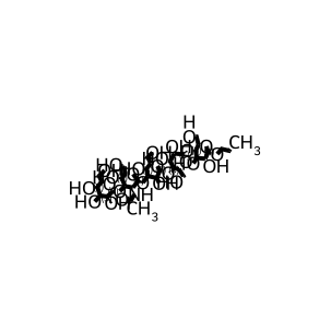 CCCO[C@@H]1OC(CO)[C@@H](O[C@@H]2OC(CO)[C@H](O[C@H]3OC(CO)[C@H](O)C(O[C@@H]4OC(CO)[C@H](O)C(O[C@@H]5OC(CO)[C@H](O)C(O)[C@@H]5O)C4NC(C)=O)C3O)C(O)C2O)C(O)C1O